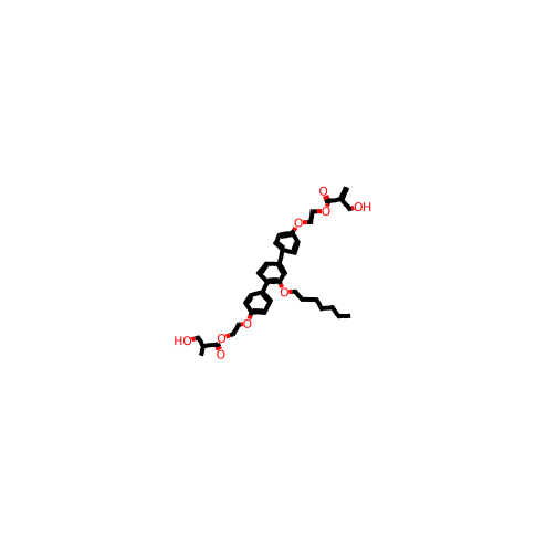 C=C(CO)C(=O)OCCOc1ccc(-c2ccc(-c3ccc(OCCOC(=O)C(C)CO)cc3)c(OCCCCCCC)c2)cc1